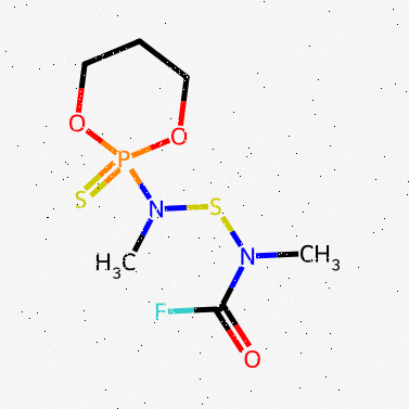 CN(SN(C)P1(=S)OCCCO1)C(=O)F